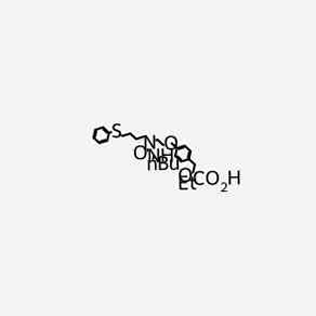 CCCCNC(=O)N(CCCCSc1ccccc1)CCOc1ccc(CC(OCC)C(=O)O)cc1